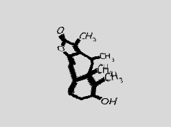 CC1=C2C(=CC3=CCC(O)C(C)C3(C)C2C)OC1=O